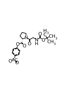 CC(C)(C)OC(=O)NCC(=O)N1CCC[C@H]1C(=O)Oc1ccc([N+](=O)[O-])cc1